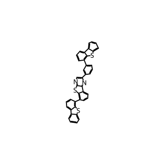 c1cc(-c2cnc3sc4c(-c5cccc6c5sc5ccccc56)cccc4c3n2)cc(-c2cccc3c2sc2ccccc23)c1